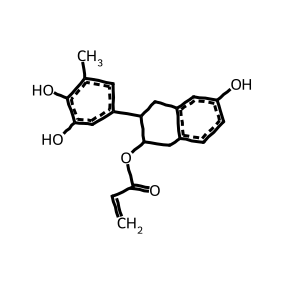 C=CC(=O)OC1Cc2ccc(O)cc2CC1c1cc(C)c(O)c(O)c1